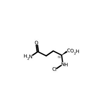 NC(=O)CC[C@H](NCl)C(=O)O